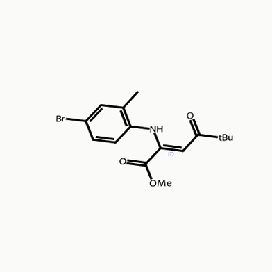 COC(=O)/C(=C/C(=O)C(C)(C)C)Nc1ccc(Br)cc1C